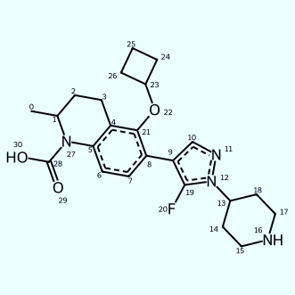 CC1CCc2c(ccc(-c3cnn(C4CCNCC4)c3F)c2OC2CCC2)N1C(=O)O